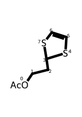 CC(=O)OCCC1SC=CS1